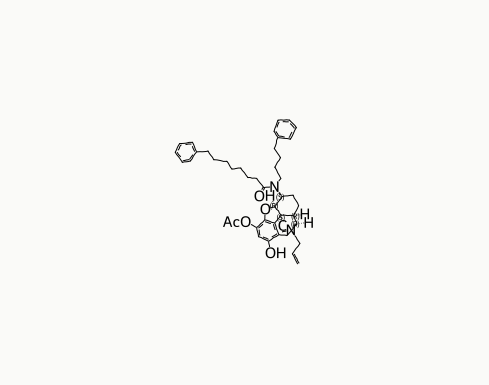 C=CCN1CC[C@]23c4c5c(O)cc(OC(C)=O)c4O[C@H]2[C@@H](N(CCCCc2ccccc2)C(=O)CCCCCCCc2ccccc2)CC[C@H]3[C@H]1C5